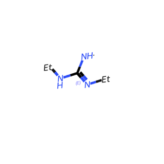 CC/N=C(\[NH])NCC